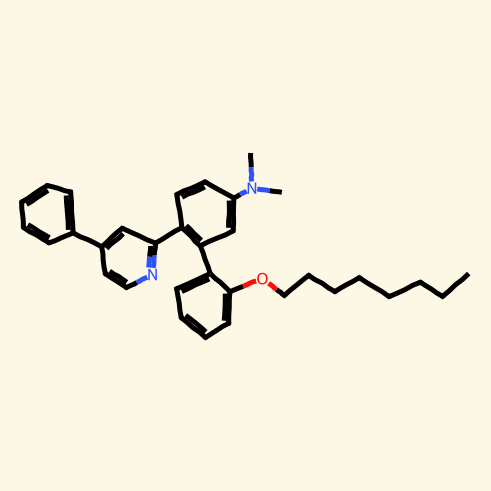 CCCCCCCCOc1ccccc1-c1cc(N(C)C)ccc1-c1cc(-c2ccccc2)ccn1